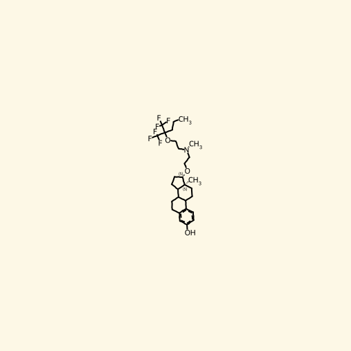 CCCC(OCCN(C)CCO[C@H]1CCC2C3CCc4cc(O)ccc4C3CC[C@@]21C)(C(F)(F)F)C(F)(F)F